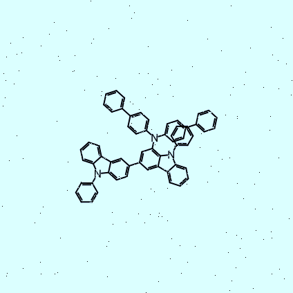 c1ccc(-c2ccc(N(c3ccc(-c4ccccc4)cc3)c3cc(-c4ccc5c(c4)c4ccccc4n5-c4ccccc4)cc4c5ccccc5n(-c5ccccc5)c34)cc2)cc1